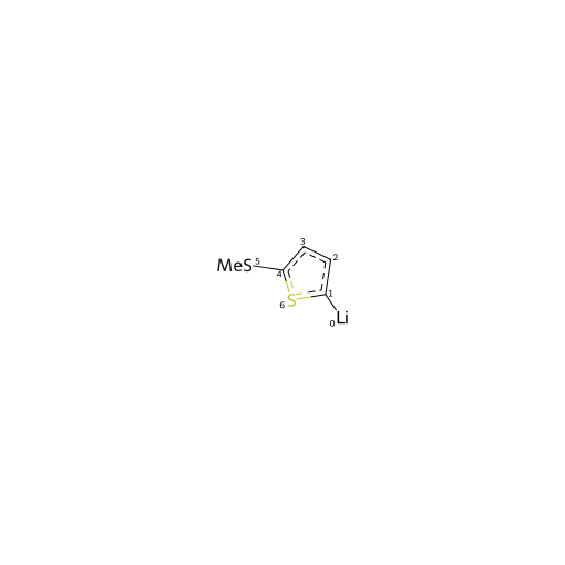 [Li][c]1ccc(SC)s1